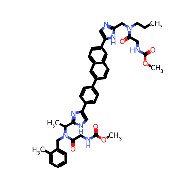 CCCN(Cc1ncc(-c2ccc3cc(-c4ccc(-c5c[nH]c(C(C)N(Cc6ccccc6C)C(=O)CNC(=O)OC)n5)cc4)ccc3c2)[nH]1)C(=O)CNC(=O)OC